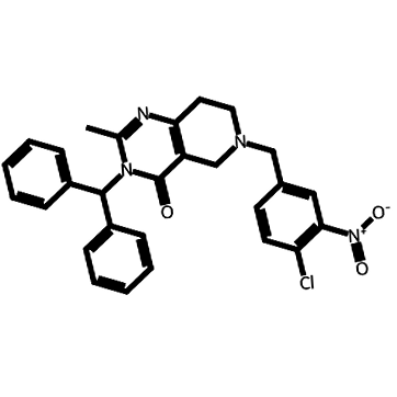 Cc1nc2c(c(=O)n1C(c1ccccc1)c1ccccc1)CN(Cc1ccc(Cl)c([N+](=O)[O-])c1)CC2